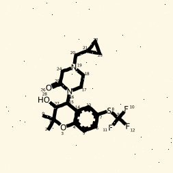 CC1(C)Oc2ccc(SC(F)(F)F)cc2C(N2CCN(CC3CC3)CC2=O)C1O